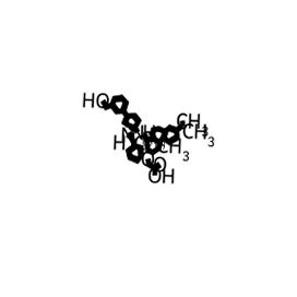 CC(C)c1ccc2c(c1)CC[C@H]1[C@@](C)(Cn3c(-c4cccc(OCC(=O)O)c4)nc4cc(-c5cccc(CO)c5)ccc43)CCC[C@]21C